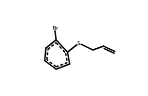 C=CCSc1ccccc1Br